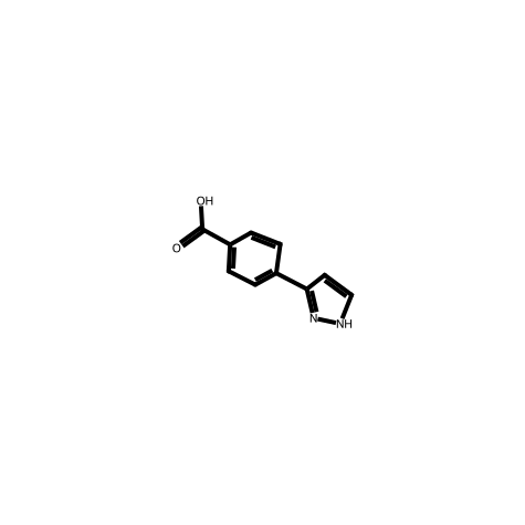 O=C(O)c1ccc(-c2cc[nH]n2)cc1